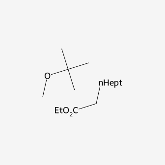 CCCCCCCCC(=O)OCC.COC(C)(C)C